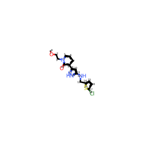 COCCn1cccc(-c2cc(NCc3ccc(Cl)s3)[nH]n2)c1=O